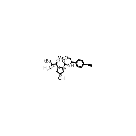 C#Cc1ccc([C@H](COC)NC(=O)[C@@H]2C[C@@H](O)CN2C(=O)[C@@H](N)C(C)(C)C)cc1